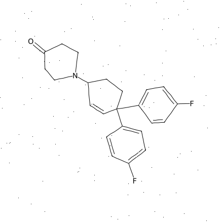 O=C1CCN(C2C=CC(c3ccc(F)cc3)(c3ccc(F)cc3)CC2)CC1